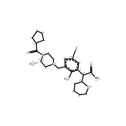 Cc1c(CN2CCN(C(=O)C3CCCC3)[C@@H](C)C2)cc(Cl)cc1C(C(N)=O)C1CCCCO1